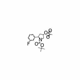 CC(C)(C)OC(=O)N1C[C@H](OS(C)(=O)=O)CC1c1cccc(F)c1